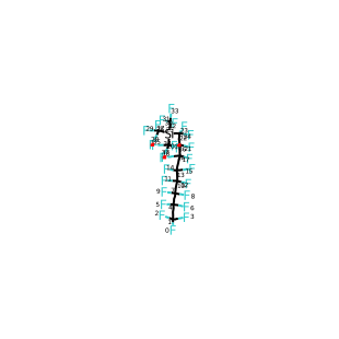 FC(F)(F)C(F)(F)C(F)(F)C(F)(F)C(F)(F)C(F)(F)C(F)(F)C(F)(F)[Si](C(F)(F)F)(C(F)(F)F)C(F)(F)F